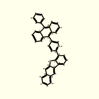 c1ccc(-c2c3ccccc3c(-c3ccc(-c4cccc5c4sc4cc6ccccc6cc45)nc3)c3ccccc23)cc1